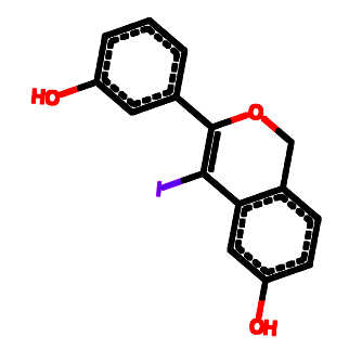 Oc1cccc(C2=C(I)c3cc(O)ccc3CO2)c1